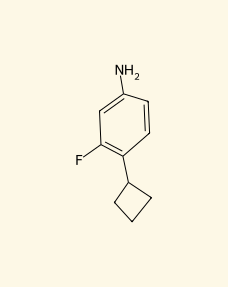 Nc1ccc(C2CCC2)c(F)c1